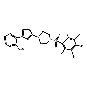 COc1ccccc1-c1csc(N2CCN(S(=O)(=O)c3c(F)c(F)c(F)c(F)c3F)CC2)n1